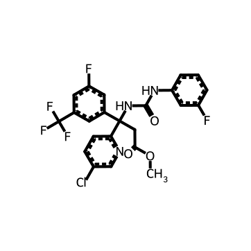 COC(=O)CC(NC(=O)Nc1cccc(F)c1)(c1cc(F)cc(C(F)(F)F)c1)c1ccc(Cl)cn1